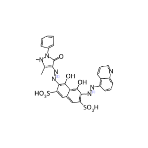 Cc1c(/N=N/c2c(S(=O)(=O)O)cc3cc(S(=O)(=O)O)c(/N=N/c4cccc5ncccc45)c(O)c3c2O)c(=O)n(-c2ccccc2)n1C